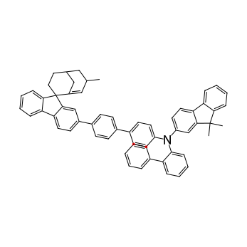 CC1C=C2CC(CCC23c2ccccc2-c2ccc(-c4ccc(-c5ccc(N(c6ccc7c(c6)C(C)(C)c6ccccc6-7)c6ccccc6-c6ccccc6)cc5)cc4)cc23)C1